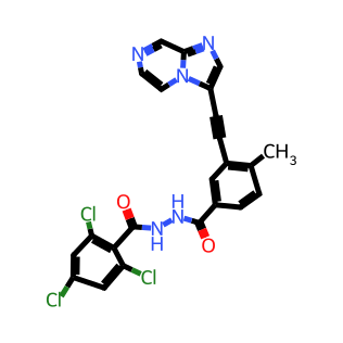 Cc1ccc(C(=O)NNC(=O)c2c(Cl)cc(Cl)cc2Cl)cc1C#Cc1cnc2cnccn12